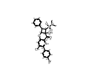 CN(C)S(=O)(=O)C1C(c2ccccc2)C2Oc3cc(Cl)c(-c4ccc(Br)cc4)nc3C(=O)C21O